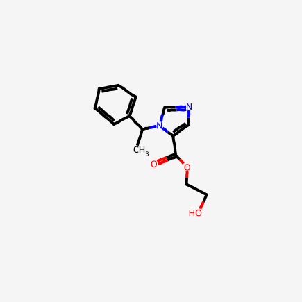 CC(c1ccccc1)n1cncc1C(=O)OCCO